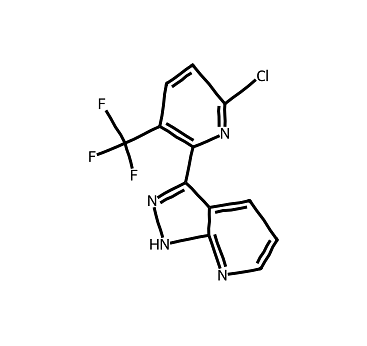 FC(F)(F)c1ccc(Cl)nc1-c1n[nH]c2ncccc12